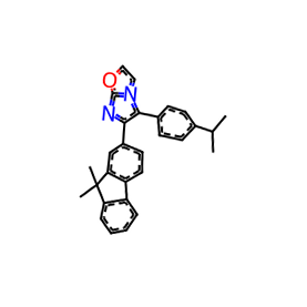 CC(C)c1ccc(-c2c(-c3ccc4c(c3)C(C)(C)c3ccccc3-4)nc3occn23)cc1